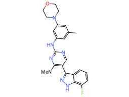 CNc1nc(Nc2cc(C)cc(N3CCOCC3)c2)ncc1-c1n[nH]c2c(F)cccc12